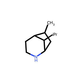 CC(C)C1C2CC(C)C1CCN2